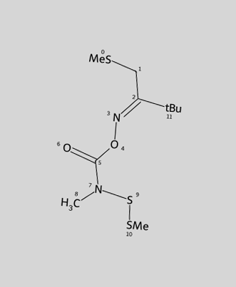 CSCC(=NOC(=O)N(C)SSC)C(C)(C)C